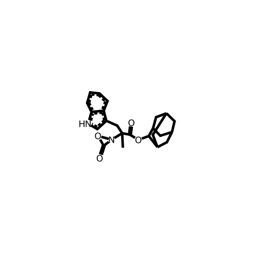 CC(Cc1c[nH]c2ccccc12)(C(=O)OC1C2CC3CC(C2)CC1C3)N1OC1=O